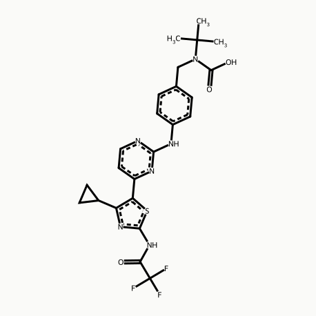 CC(C)(C)N(Cc1ccc(Nc2nccc(-c3sc(NC(=O)C(F)(F)F)nc3C3CC3)n2)cc1)C(=O)O